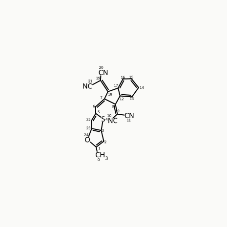 Cc1cc2sc(C=C3C(=C(C#N)C#N)c4ccccc4C3=C(C#N)C#N)cc2o1